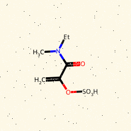 C=C(OS(=O)(=O)O)C(=O)N(C)CC